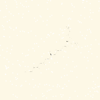 C=P(OC)(OCCN)OCCCCC(=O)CCCCCCCCCCCCCCCCC